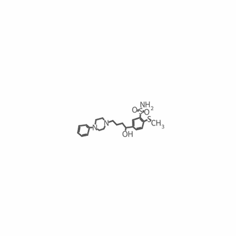 CSc1ccc(C(O)CCCN2CCN(c3ccccc3)CC2)cc1S(N)(=O)=O